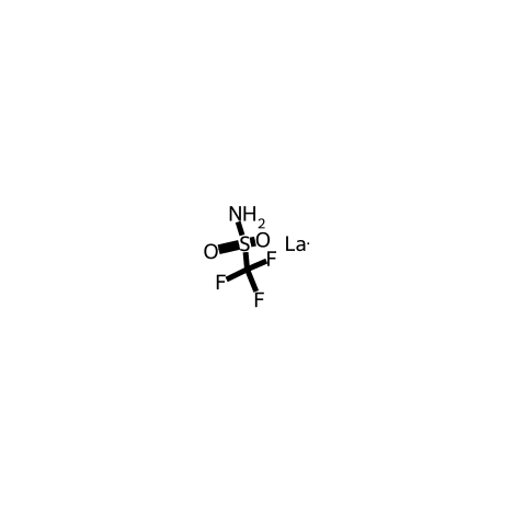 NS(=O)(=O)C(F)(F)F.[La]